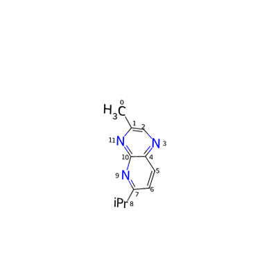 Cc1cnc2ccc(C(C)C)nc2n1